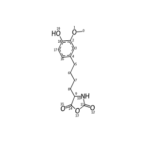 COc1cc(CCCCC2NC(=O)OC2=O)ccc1O